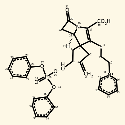 C=CCC1(CCO)C(SCC[n+]2ccccc2)=C(C(=O)O)N2C(=O)C[C@@H]21.O=P([O-])(Oc1ccccc1)Oc1ccccc1